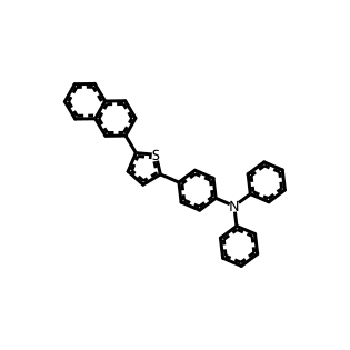 c1ccc(N(c2ccccc2)c2ccc(-c3ccc(-c4ccc5ccccc5c4)s3)cc2)cc1